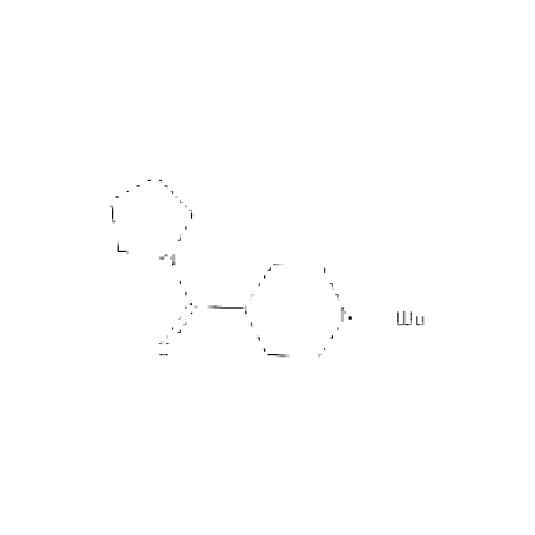 CC(C)(C)N1CCC(C(=O)N2CCCC2)CC1